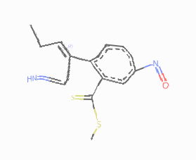 CC/C=C(\C=N)c1ccc(N=O)cc1C(=S)SC